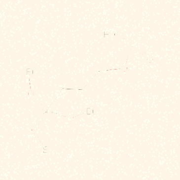 CCO[Si](CCCOS(C)(=O)=S)(OCC)OCC